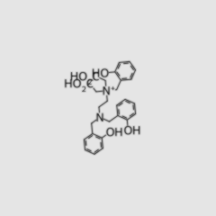 O=C(O)C[N+](CCN(Cc1ccccc1O)Cc1ccccc1O)(CC(=O)O)Cc1ccccc1O